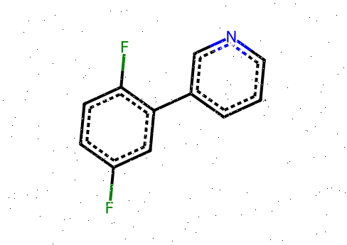 Fc1ccc(F)c(-c2c[c]cnc2)c1